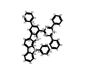 c1ccc(-c2nc(-c3ccccc3)nc(-c3cc(-c4cccnc4)cc4c3sc3c4ccc4c5ccccc5n(-c5ccccc5)c43)n2)cc1